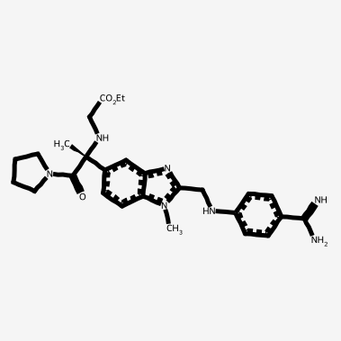 CCOC(=O)CN[C@@](C)(C(=O)N1CCCC1)c1ccc2c(c1)nc(CNc1ccc(C(=N)N)cc1)n2C